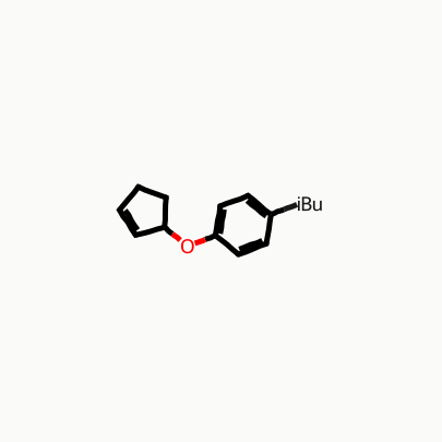 CCC(C)c1ccc(OC2C=CCC2)cc1